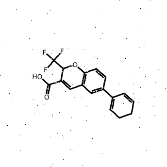 O=C(O)C1=Cc2cc(C3=CCCC=C3)ccc2OC1C(F)(F)F